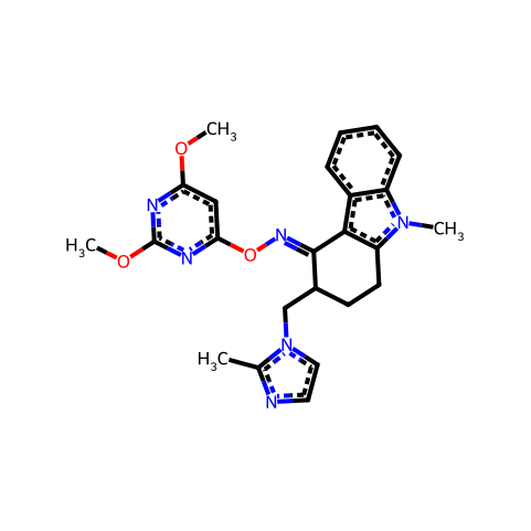 COc1cc(ON=C2c3c(n(C)c4ccccc34)CCC2Cn2ccnc2C)nc(OC)n1